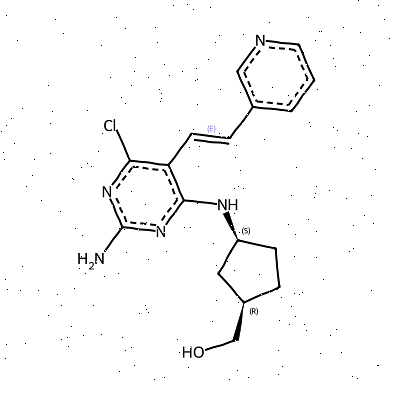 Nc1nc(Cl)c(/C=C/c2cccnc2)c(N[C@H]2CC[C@@H](CO)C2)n1